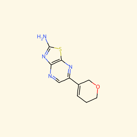 Nc1nc2ncc(C3=CCCOC3)nc2s1